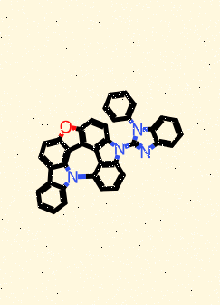 c1ccc(-n2c(-n3c4ccc5oc6ccc7c8ccccc8n8c9cccc3c9c4c5c6c78)nc3ccccc32)cc1